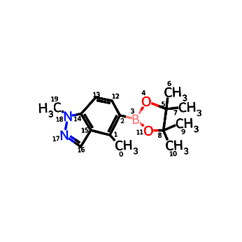 Cc1c(B2OC(C)(C)C(C)(C)O2)ccc2c1cnn2C